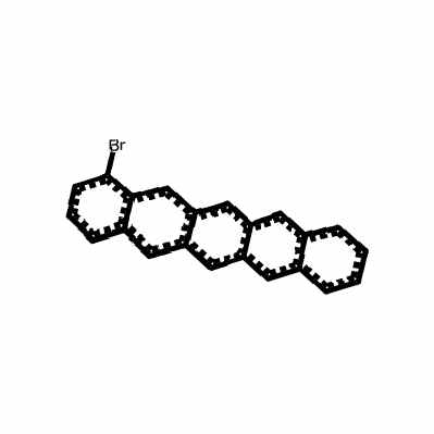 Brc1cccc2cc3cc4cc5ccccc5cc4cc3cc12